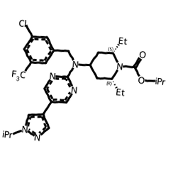 CC[C@@H]1CC(N(Cc2cc(Cl)cc(C(F)(F)F)c2)c2ncc(-c3cnn(C(C)C)c3)cn2)C[C@H](CC)N1C(=O)OC(C)C